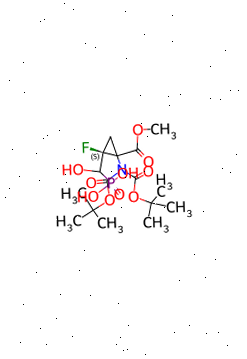 COC(=O)C1(N(C(=O)OC(C)(C)C)C(=O)OC(C)(C)C)C[C@@]1(F)C(O)P(=O)(O)O